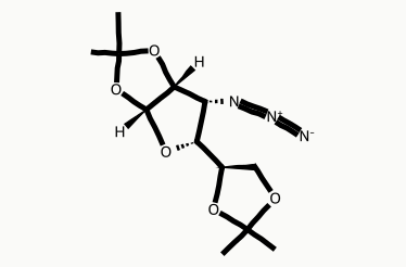 CC1(C)O[C@H]2O[C@@H]([C@H]3COC(C)(C)O3)[C@@H](N=[N+]=[N-])[C@H]2O1